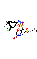 Cc1ccc(NS(=O)(=O)c2cc(S(C)(=O)=O)cc3c2OCC(O)N3)cc1Cl